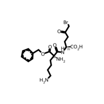 NCCCC[C@](N)(C(=O)N[C@@H](CCC(=O)CBr)C(=O)O)C(=O)OCc1ccccc1